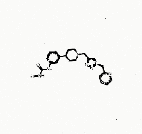 CCNC(=O)Nc1cccc(C2CCN(Cc3cn(Cc4ccccn4)nn3)CC2)c1